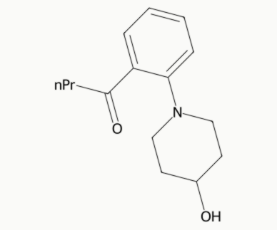 CCCC(=O)c1ccccc1N1CCC(O)CC1